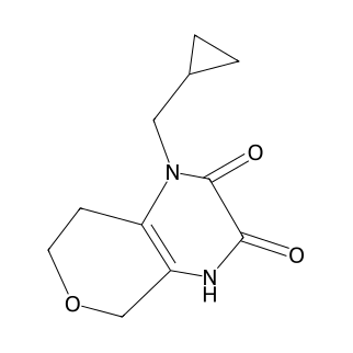 O=c1[nH]c2c(n(CC3CC3)c1=O)CCOC2